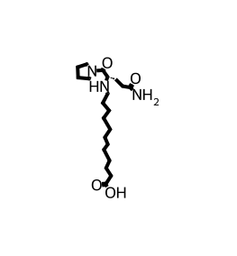 NC(=O)CC[C@H](NCCCCCCCCCCCC(=O)O)C(=O)N1CCCC1